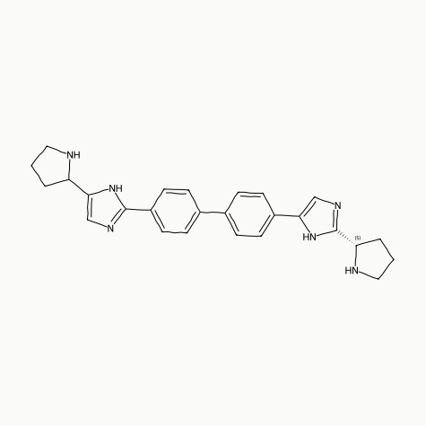 c1cc(-c2cnc([C@@H]3CCCN3)[nH]2)ccc1-c1ccc(-c2ncc(C3CCCN3)[nH]2)cc1